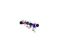 COc1cc(N2CCC(N(C)C(=O)OCc3ccccc3)CC2)c(F)cc1-c1nc2c(C)nn(-c3ccccc3)c2c(=O)[nH]1